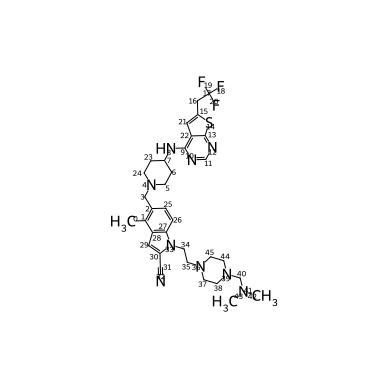 Cc1c(CN2CCC(Nc3ncnc4sc(CC(F)(F)F)cc34)CC2)ccc2c1cc(C#N)n2CCN1CCN(CN(C)C)CC1